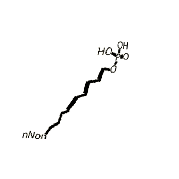 CCCCCCCCCCCCC=CC=CC=COP(=O)(O)O